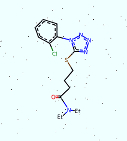 CCN(CC)C(=O)CCCSc1nnnn1-c1ccccc1Cl